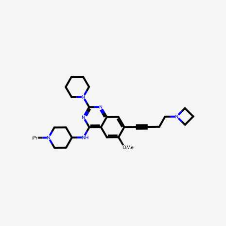 COc1cc2c(NC3CCN(C(C)C)CC3)nc(N3CCCCC3)nc2cc1C#CCCN1CCC1